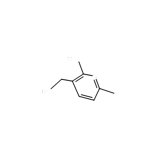 COc1nc(C)ccc1CO